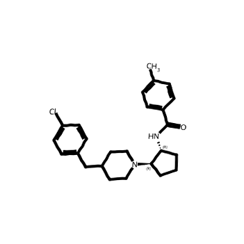 Cc1ccc(C(=O)N[C@@H]2CCC[C@H]2N2CCC(Cc3ccc(Cl)cc3)CC2)cc1